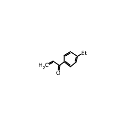 C=CC(=O)c1ccc(CC)cc1